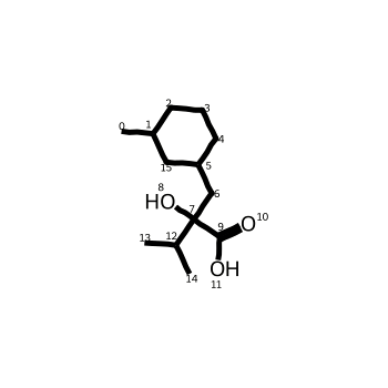 CC1CCCC(CC(O)(C(=O)O)C(C)C)C1